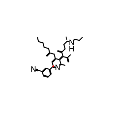 C=C(CCCCC)CC(=C/C(C)c1cccc(C#N)c1)/C(C(/C)=N\C)=C(/C(=C)C)C(=C)CC[C@@H](C)NCCC